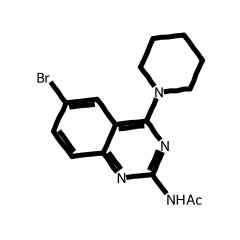 CC(=O)Nc1nc(N2CCCCC2)c2cc(Br)ccc2n1